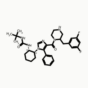 CC(C)(C)NC(=O)N[C@H]1CCCC[C@@H]1n1cnc(C(=O)N2CCNCC2Cc2cc(F)cc(F)c2)c1-c1ccccc1